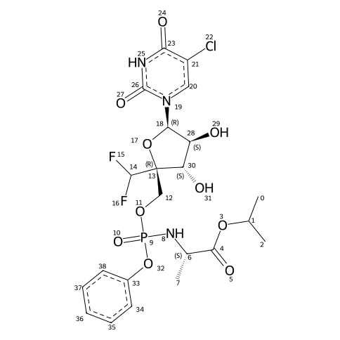 CC(C)OC(=O)[C@H](C)NP(=O)(OC[C@@]1(C(F)F)O[C@@H](n2cc(Cl)c(=O)[nH]c2=O)[C@@H](O)[C@@H]1O)Oc1ccccc1